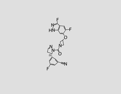 N#Cc1cc(F)cc([C@@H]2CC=NN2C(=O)N2CC(Oc3cc4[nH]nc(F)c4cc3F)C2)c1